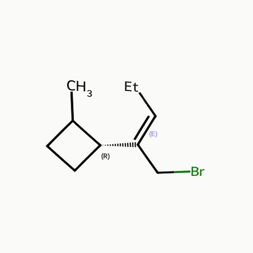 CC/C=C(/CBr)[C@@H]1CCC1C